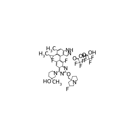 Cc1cc2[nH]ncc2c(-c2c(F)cc3c(N4CCC[C@@](C)(O)C4)nc(OC[C@@]45CCCN4C[C@H](F)C5)nc3c2F)c1[C@H]1C[C@H]1C.O=C(O)C(F)(F)F.O=C(O)C(F)(F)F